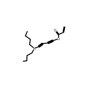 C=CC(=O)OC#CC#CN(CCCC)CCCC